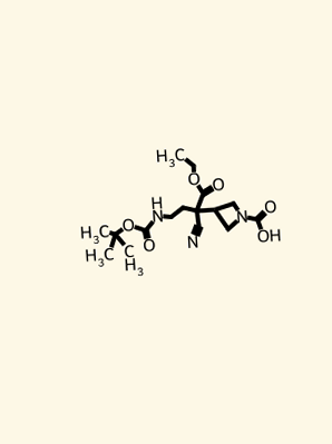 CCOC(=O)C(C#N)(CCNC(=O)OC(C)(C)C)C1CN(C(=O)O)C1